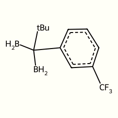 BC(B)(c1cccc(C(F)(F)F)c1)C(C)(C)C